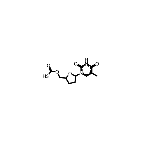 Cc1cn(C2CCC(COC(=O)S)O2)c(=O)[nH]c1=O